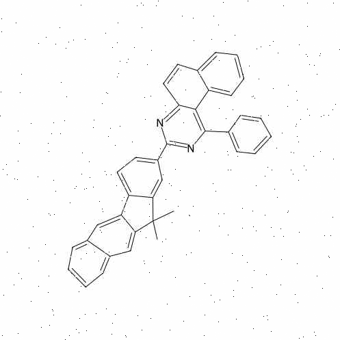 CC1(C)c2cc(-c3nc(-c4ccccc4)c4c(ccc5ccccc54)n3)ccc2-c2cc3ccccc3cc21